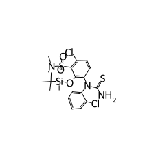 CN(C)S(=O)(=O)c1c(Cl)ccc(N(C(N)=S)c2ccccc2Cl)c1O[Si](C)(C)C(C)(C)C